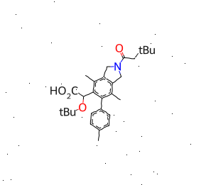 Cc1ccc(-c2c(C)c3c(c(C)c2C(OC(C)(C)C)C(=O)O)CN(C(=O)CC(C)(C)C)C3)cc1